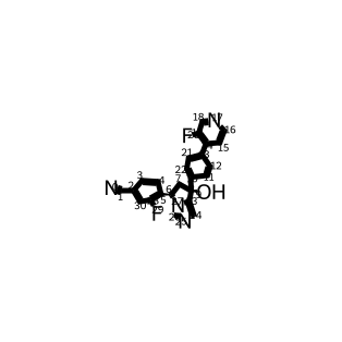 N#Cc1ccc([C@H]2C[C@](O)(c3ccc(-c4ccncc4F)cc3)c3cncn32)c(F)c1